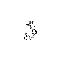 CCC1(CN(C)Sc2ccc3c(c2)CN(C(=O)C(C)C)CC3)CCC1